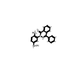 CC(=O)Nc1ccc([N+](=O)[O-])c(-n2nc(-c3ccccc3)c3ccccc3c2=O)c1